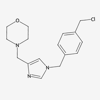 ClCc1ccc(Cn2cnc(CN3CCOCC3)c2)cc1